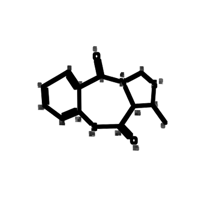 CC1SCN2C(=O)c3ccccc3SC(=O)C12